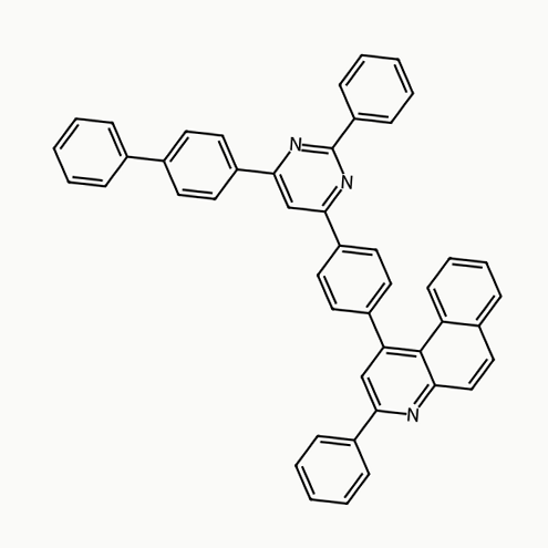 c1ccc(-c2ccc(-c3cc(-c4ccc(-c5cc(-c6ccccc6)nc6ccc7ccccc7c56)cc4)nc(-c4ccccc4)n3)cc2)cc1